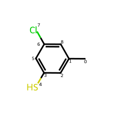 Cc1cc(S)cc(Cl)c1